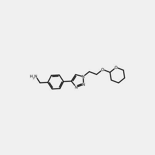 NCc1ccc(-c2cn(CCOC3CCCCO3)nn2)cc1